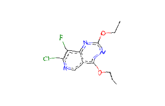 CCOc1nc(OCC)c2cnc(Cl)c(F)c2n1